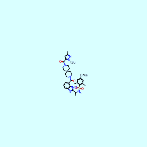 COc1cc(C)c(S(=O)(=O)N(C)C(C)c2nc3cccc(C(=O)N4CCC5(CC4)CCN(C(=O)c4cc(C)nn4C(C)(C)C)CC5)c3[nH]2)c(C)c1